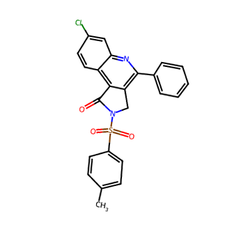 Cc1ccc(S(=O)(=O)N2Cc3c(-c4ccccc4)nc4cc(Cl)ccc4c3C2=O)cc1